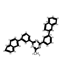 Cc1nc(-c2cccc(-c3ccc4ccccc4c3)c2)nc(-c2cccc(-c3ccc4ccccc4c3)c2)n1